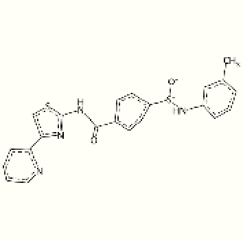 Cc1cccc(N[S+]([O-])c2ccc(C(=O)Nc3nc(-c4ccccn4)cs3)cc2)c1